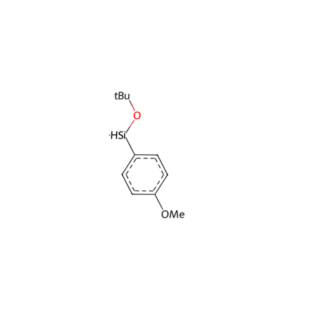 COc1ccc([SiH]OC(C)(C)C)cc1